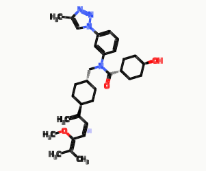 C=C(/C=C\C(OC)=C(C)C)[C@H]1CC[C@H](CN(c2cccc(-n3cc(C)nn3)c2)C(=O)[C@H]2CC[C@H](O)CC2)CC1